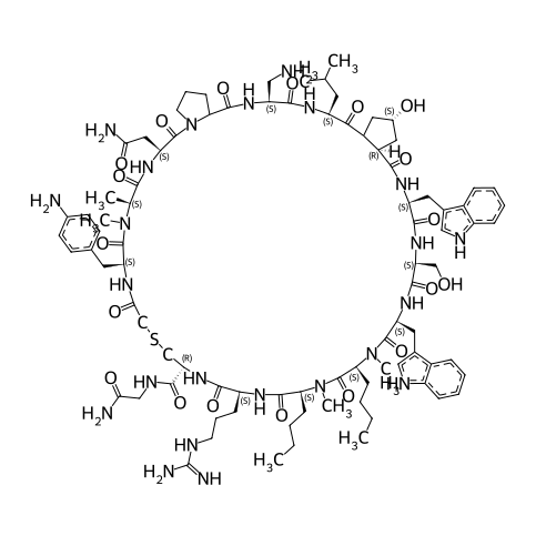 CCCC[C@H]1C(=O)N(C)[C@@H](CCCC)C(=O)N[C@@H](CCCNC(=N)N)C(=O)N[C@H](C(=O)NCC(N)=O)CSCC(=O)N[C@@H](Cc2ccc(N)cc2)C(=O)N(C)[C@@H](C)C(=O)N[C@@H](CC(N)=O)C(=O)N2CCCC2C(=O)N[C@@H](CN)C(=O)N[C@@H](CC(C)C)C(=O)C2C[C@H](O)C[C@H]2C(=O)N[C@@H](Cc2c[nH]c3ccccc23)C(=O)N[C@@H](CO)C(=O)N[C@@H](Cc2c[nH]c3ccccc23)C(=O)N1C